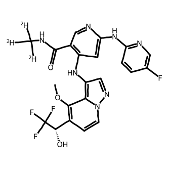 [2H]C([2H])([2H])NC(=O)c1cnc(Nc2ccc(F)cn2)cc1Nc1cnn2ccc([C@H](O)C(F)(F)F)c(OC)c12